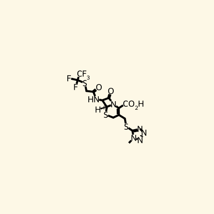 Cn1nnnc1SCC1=C(C(=O)O)N2C(=O)C(NC(=O)CSC(F)(F)C(F)(F)F)[C@H]2SC1